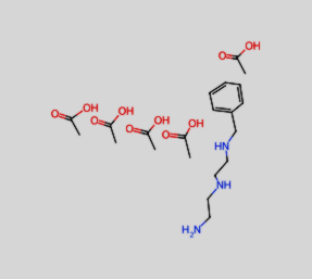 CC(=O)O.CC(=O)O.CC(=O)O.CC(=O)O.CC(=O)O.NCCNCCNCc1ccccc1